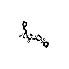 CC(C)C[C@H](NC(=O)CCC1CCCC1)C(=O)NCC1CN(S(=O)(=O)c2ccccc2)CCO1